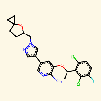 C[C@@H](Oc1cc(-c2cnn(C[C@H]3CCC4(CC4)O3)c2)cnc1N)c1c(Cl)ccc(F)c1Cl